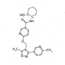 Cc1ccc(-c2noc(C)c2COc2ccc(C(=O)N[C@H]3CCCC[C@H]3O)cn2)cn1